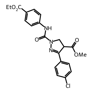 CCOC(=O)c1ccc(NC(=O)N2CC(C(=O)OC)C(c3ccc(Cl)cc3)=N2)cc1